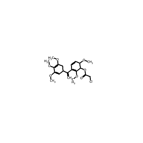 C=C(C1=C(OC)C(OC(=O)CCl)C(OC)C=C1)C1C=C(OC)C(OC)=C(OC)C1